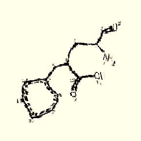 N[C@H]([C]=O)CC(Cc1ccccc1)C(=O)O